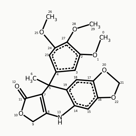 COc1cc(C2(C)C3=C(COC3=O)Nc3cc4c(cc32)OCO4)cc(OC)c1OC